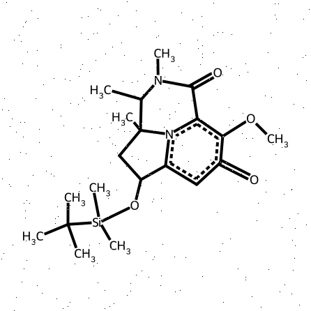 COc1c2n3c(cc1=O)C(O[Si](C)(C)C(C)(C)C)CC3(C)C(C)N(C)C2=O